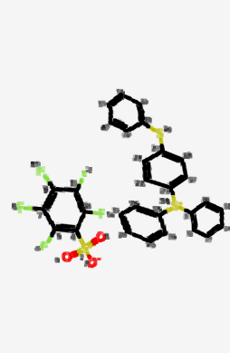 O=S(=O)([O-])c1c(F)c(F)c(F)c(F)c1F.c1ccc(Sc2ccc([S+](c3ccccc3)c3ccccc3)cc2)cc1